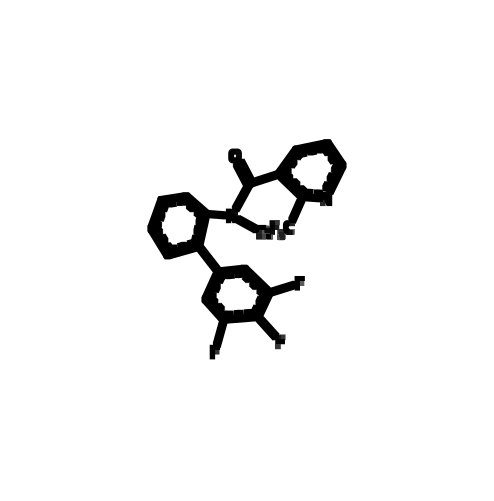 CCN(C(=O)c1cccnc1C(F)(F)F)c1ccccc1-c1cc(F)c(F)c(F)c1